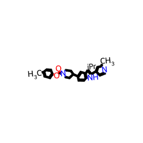 Cc1ccc(OC(=O)N2CCC(c3ccc4[nH]c(-c5ccnc(C)c5)c(C(C)C)c4c3)CC2)cc1